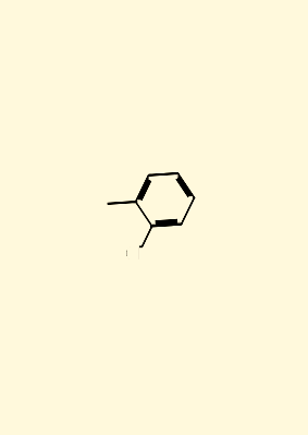 Cc1cc[c]cc1Cl